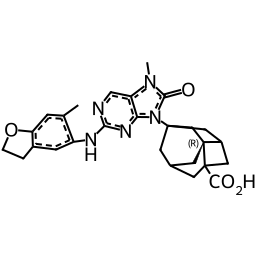 Cc1cc2c(cc1Nc1ncc3c(n1)n(C14CC5CC6(C(=O)O)CC(C1)[C@@]6(C5)C4)c(=O)n3C)CCO2